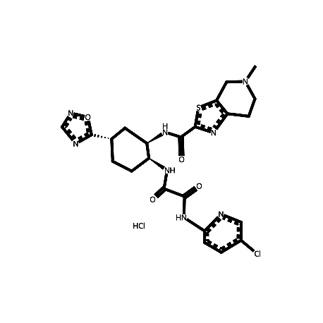 CN1CCc2nc(C(=O)N[C@@H]3C[C@@H](c4ncno4)CC[C@@H]3NC(=O)C(=O)Nc3ccc(Cl)cn3)sc2C1.Cl